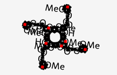 COc1cc(O)c2cc1C(c1ccc(C(=O)OCCOC34CC5CC(C)(CC(OC)(C5)C3)C4)cc1)c1cc(c(OC)cc1O)C(c1ccc(C(=O)OCCOC34CC5CC(C)(CC(OC)(C5)C3)C4)cc1)c1cc(c(OC)cc1O)C(c1ccc(C(=O)OCCOC34CC5CC(C)(CC(OC)(C5)C3)C4)cc1)c1cc(c(OC)cc1O)C2c1ccc(C(=O)OCCOC23CC4CC(C)(CC(OC)(C4)C2)C3)cc1